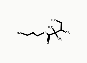 CCC(C)C(C)(C)C(=O)NCCCO